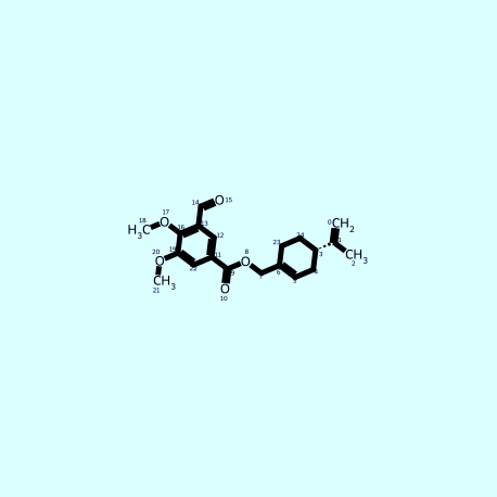 C=C(C)[C@@H]1CC=C(COC(=O)c2cc(C=O)c(OC)c(OC)c2)CC1